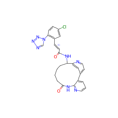 O=C(/C=C/c1cc(Cl)ccc1-n1cnnn1)NC1CCCCC(=O)Nc2ncccc2-c2ccnc1c2